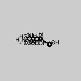 CN(C)c1cc(C#Cc2cccc(O)c2)c(O)c2c1C[C@@H]1C[C@@H]3[C@H](N(C)C)C(O)=C(C(N)=O)C(=O)[C@]3(O)C(O)=C1C2=O